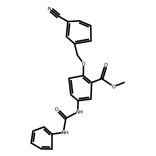 COC(=O)c1cc(NC(=O)Nc2ccccc2)ccc1OCc1cccc(C#N)c1